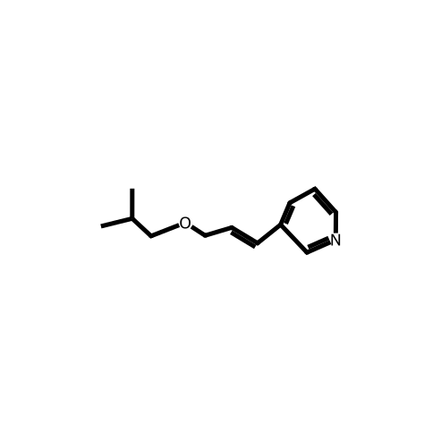 CC(C)COC/C=C/c1cccnc1